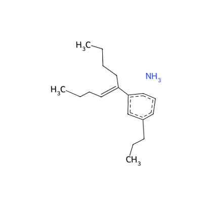 CCCC=C(CCCC)c1cccc(CCC)c1.N